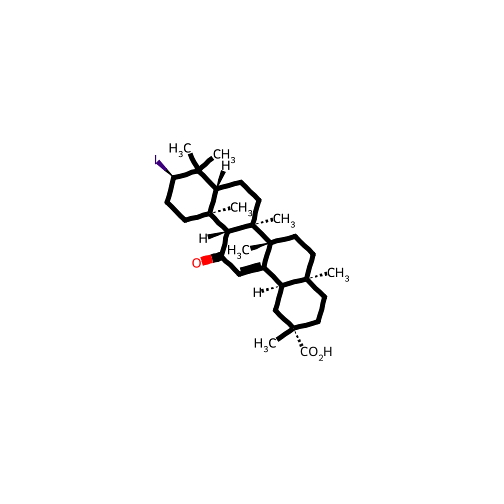 CC1(C)[C@H](I)CC[C@]2(C)[C@H]3C(=O)C=C4[C@@H]5C[C@@](C)(C(=O)O)CC[C@]5(C)CC[C@@]4(C)[C@]3(C)CC[C@@H]12